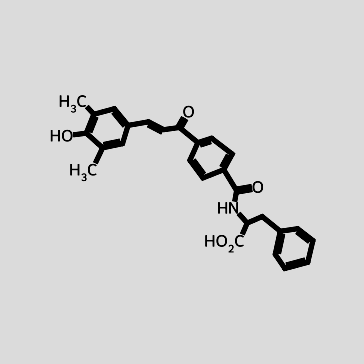 Cc1cc(C=CC(=O)c2ccc(C(=O)NC(Cc3ccccc3)C(=O)O)cc2)cc(C)c1O